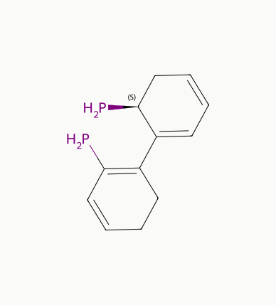 PC1=C(C2=CC=CC[C@@H]2P)CCC=C1